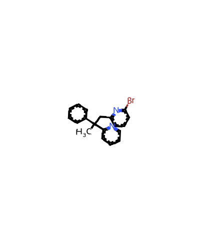 CC(Cc1cccc(Br)n1)(c1ccccc1)c1ccccn1